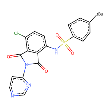 CC(C)(C)c1ccc(S(=O)(=O)Nc2ccc(Cl)c3c2C(=O)N(c2ccncn2)C3=O)cc1